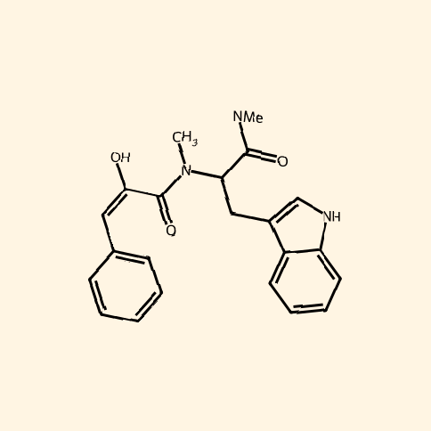 CNC(=O)C(Cc1c[nH]c2ccccc12)N(C)C(=O)/C(O)=C\c1ccccc1